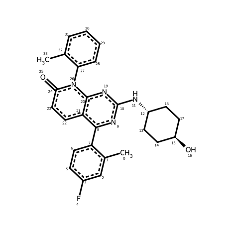 Cc1cc(F)ccc1-c1nc(N[C@H]2CC[C@H](O)CC2)nc2c1ccc(=O)n2-c1ccccc1C